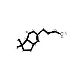 CC1(C)CCC2C=C(CCCO)CCC21